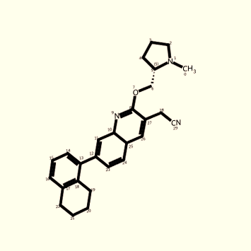 CN1CCC[C@H]1COC1=NC2C=C(c3cccc4c3CCCC4)C=CC2C=C1CC#N